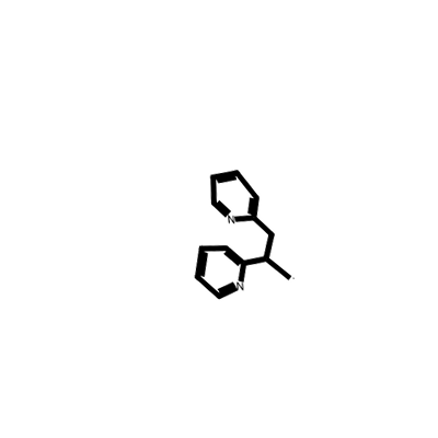 [CH2]C(Cc1ccccn1)c1ccccn1